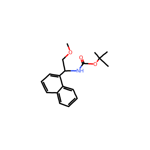 COCC(NC(=O)OC(C)(C)C)c1cccc2ccccc12